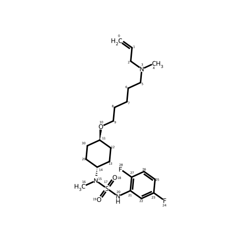 C=CCN(C)CCCCCO[C@H]1CC[C@H](N(C)S(=O)(=O)Nc2cc(F)ccc2F)CC1